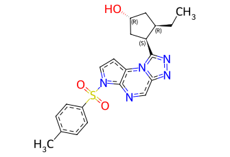 CC[C@@H]1C[C@@H](O)C[C@@H]1c1nnc2cnc3c(ccn3S(=O)(=O)c3ccc(C)cc3)n12